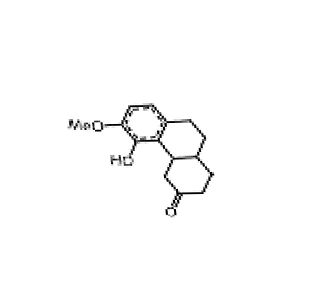 COc1ccc2c(c1O)C1CC(=O)CCC1CC2